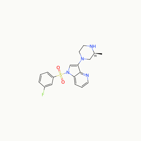 C[C@H]1CN(c2cn(S(=O)(=O)c3cccc(F)c3)c3cccnc23)CCN1